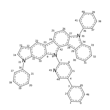 c1ccc(-c2ccc(-n3c4cc5c(ccn5-c5ccccc5)cc4c4ccc5c(c6ccccc6n5-c5ccccc5)c43)nc2)cc1